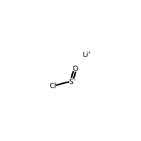 O=[S-]Cl.[Li+]